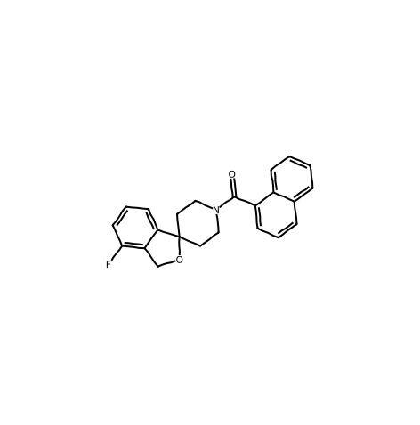 O=C(c1cccc2ccccc12)N1CCC2(CC1)OCc1c(F)cccc12